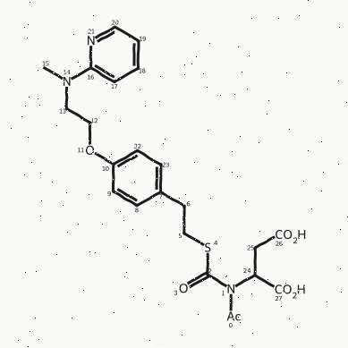 CC(=O)N(C(=O)SCCc1ccc(OCCN(C)c2ccccn2)cc1)C(CC(=O)O)C(=O)O